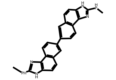 CPc1nc2c(ccc3cc(-c4ccc5c(ccc6[nH]c(PC)nc65)c4)ccc32)[nH]1